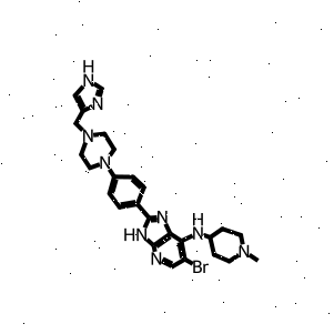 CN1CCC(Nc2c(Br)cnc3[nH]c(-c4ccc(N5CCN(Cc6c[nH]cn6)CC5)cc4)nc23)CC1